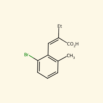 CCC(=Cc1c(C)cccc1Br)C(=O)O